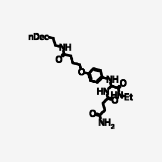 CCCCCCCCCCCCNC(=O)CCCOc1ccc(NC(NC(=O)CCC(N)=O)C(=O)NCC)cc1